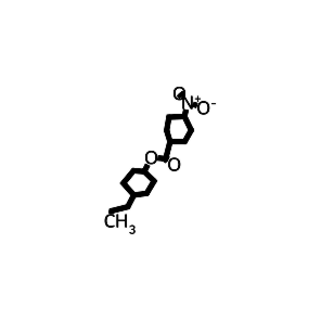 CCCC1CCC(OC(=O)C2CCC([N+](=O)[O-])CC2)CC1